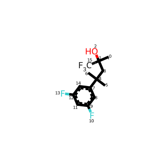 [CH2]C(O)(CC(C)(C)c1cc(F)cc(F)c1)C(F)(F)F